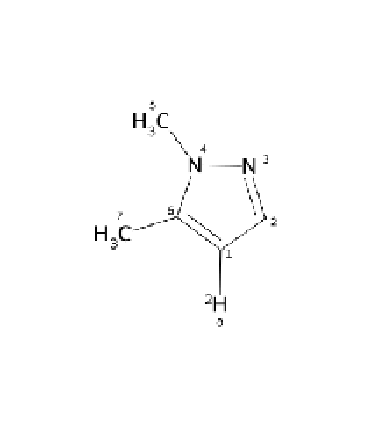 [2H]c1cnn(C)c1C